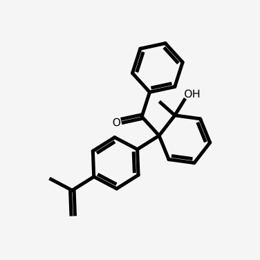 C=C(C)c1ccc(C2(C(=O)c3ccccc3)C=CC=CC2(C)O)cc1